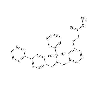 COC(=O)CCc1cccc(CN(Cc2ccc(-c3cnccn3)cc2)S(=O)(=O)c2cccnc2)c1